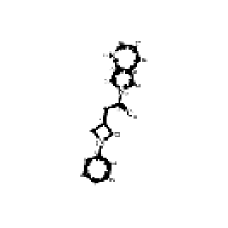 O=C(CC1CN(c2ccccc2)C1)n1cc2cccnc2c1